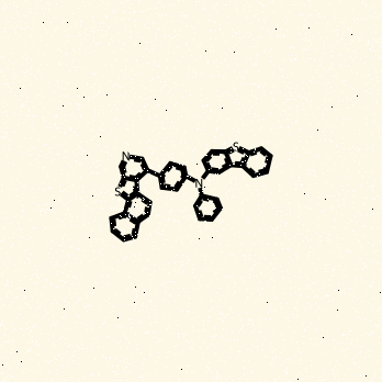 c1ccc(N(c2ccc(-c3cncc4sc5c6ccccc6ccc5c34)cc2)c2ccc3sc4ccccc4c3c2)cc1